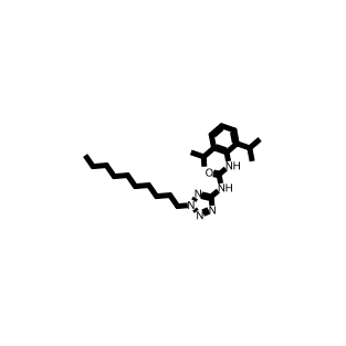 CCCCCCCCCCn1nnc(NC(=O)Nc2c(C(C)C)cccc2C(C)C)n1